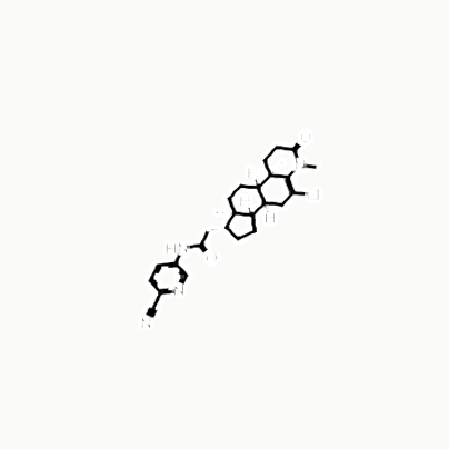 CN1C(=O)CC[C@@]2(C)C1=C(Cl)C[C@H]1[C@@H]3CC[C@H](CC(=O)Nc4ccc(C#N)nc4)[C@@]3(C)CC[C@@H]12